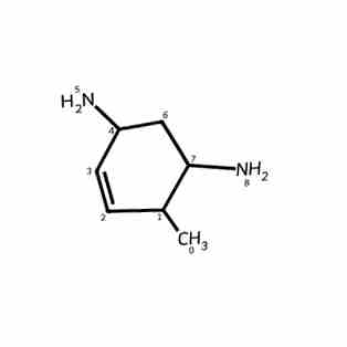 CC1C=CC(N)CC1N